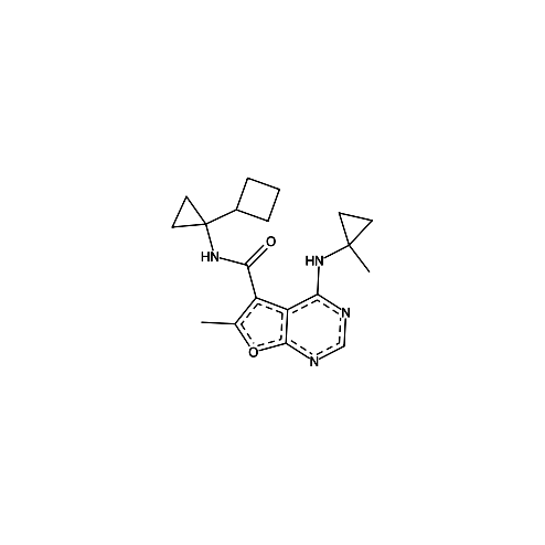 Cc1oc2ncnc(NC3(C)CC3)c2c1C(=O)NC1(C2CCC2)CC1